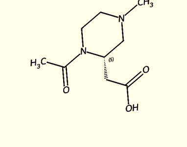 CC(=O)N1CCN(C)C[C@@H]1CC(=O)O